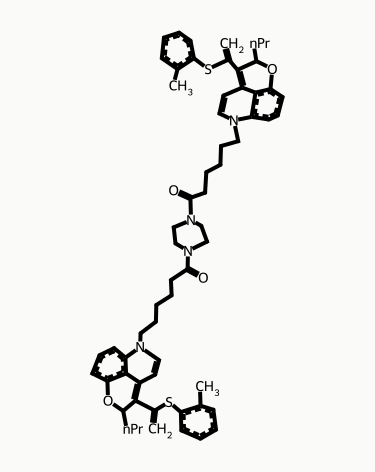 C=C(Sc1ccccc1C)C1=C2C=CN(CCCCCC(=O)N3CCN(C(=O)CCCCCN4C=CC5=C(C(=C)Sc6ccccc6C)C(CCC)Oc6cccc4c65)CC3)c3cccc(c32)OC1CCC